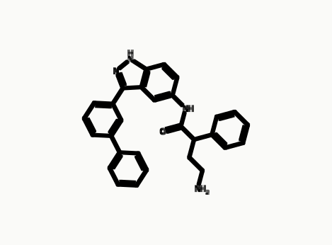 NCCC(C(=O)Nc1ccc2[nH]nc(-c3cccc(-c4ccccc4)c3)c2c1)c1ccccc1